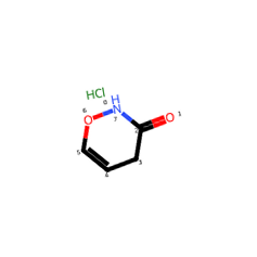 Cl.O=C1CC=CON1